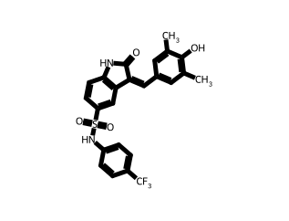 Cc1cc(C=C2C(=O)Nc3ccc(S(=O)(=O)Nc4ccc(C(F)(F)F)cc4)cc32)cc(C)c1O